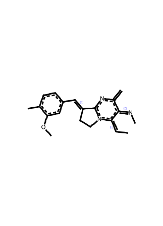 C=c1nc2n(c(=C/C)/c1=N\C)CC/C2=C\c1ccc(C)c(OC)c1